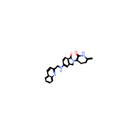 C=C1CCC(N2Cc3cc(NCc4ccc5ccccc5n4)ccc3C2=O)C(=O)N1